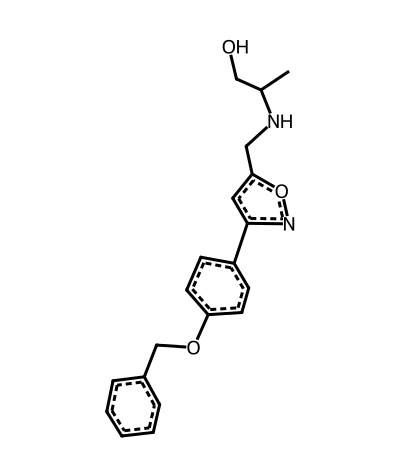 CC(CO)NCc1cc(-c2ccc(OCc3ccccc3)cc2)no1